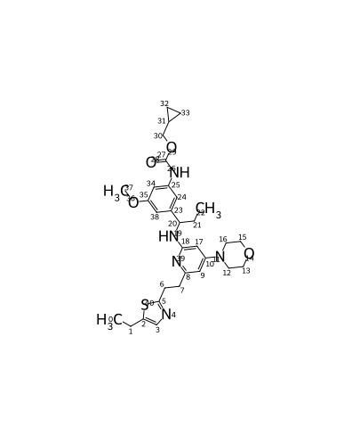 CCc1cnc(CCc2cc(N3CCOCC3)cc(NC(CC)c3cc(NC(=O)OCC4CC4)cc(OC)c3)n2)s1